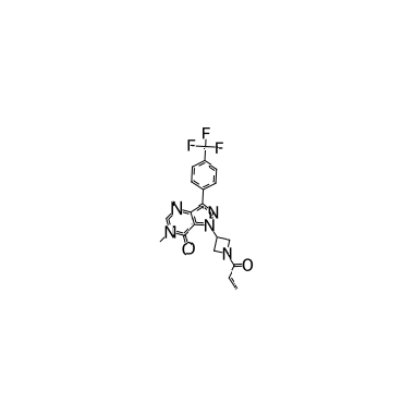 C=CC(=O)N1CC(n2nc(-c3ccc(C(F)(F)F)cc3)c3ncn(C)c(=O)c32)C1